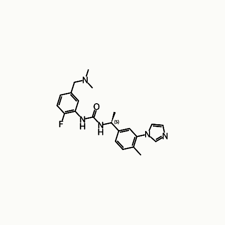 Cc1ccc([C@H](C)NC(=O)Nc2cc(CN(C)C)ccc2F)cc1-n1ccnc1